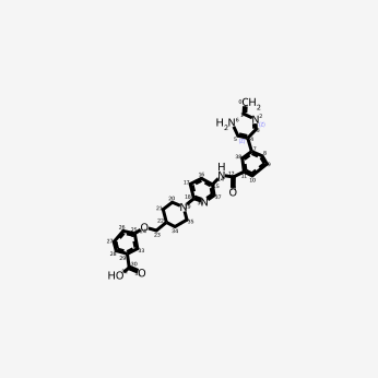 C=C/N=C\C(=C/N)c1cccc(C(=O)Nc2ccc(N3CCC(COc4cccc(C(=O)O)c4)CC3)nc2)c1